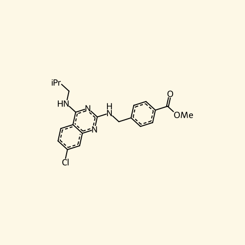 COC(=O)c1ccc(CNc2nc(NCC(C)C)c3ccc(Cl)cc3n2)cc1